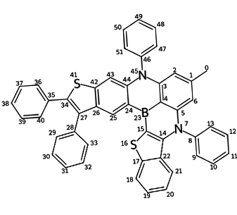 Cc1cc2c3c(c1)N(c1ccccc1)c1c(sc4ccccc14)B3c1cc3c(-c4ccccc4)c(-c4ccccc4)sc3cc1N2c1ccccc1